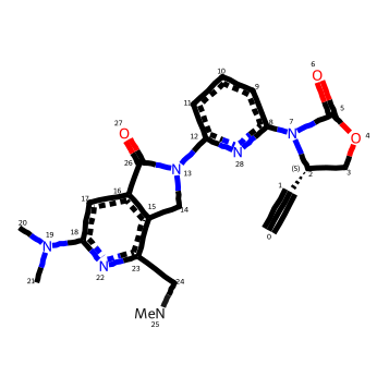 C#C[C@H]1COC(=O)N1c1cccc(N2Cc3c(cc(N(C)C)nc3CNC)C2=O)n1